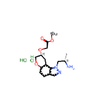 C[C@H](N)Cn1ncc2ccc3c(c21)C[C@@H](OCC(=O)OC(C)(C)C)CO3.Cl.Cl